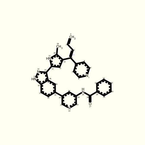 C=C/C=C(/c1ccncc1)c1cc(-c2n[nH]c3ccc(-c4cncc(NC(=O)c5ccccc5)c4)cc23)[nH]c1C